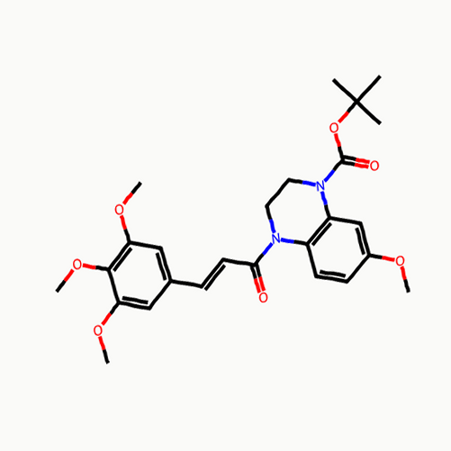 COc1ccc2c(c1)N(C(=O)OC(C)(C)C)CCN2C(=O)C=Cc1cc(OC)c(OC)c(OC)c1